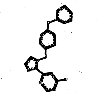 Brc1ccnc(-c2nccn2Cc2ccc(Oc3ccccc3)cc2)c1